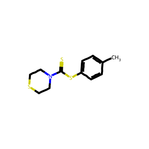 Cc1ccc(SC(=S)N2CCSCC2)cc1